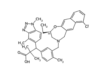 CC[C@@H]1CN(Cc2cc(C(c3ccc4c(nnn4C)c3C)C(C)(C)C(=O)O)ccc2C)Cc2cc3c(Cl)cccc3cc2O1